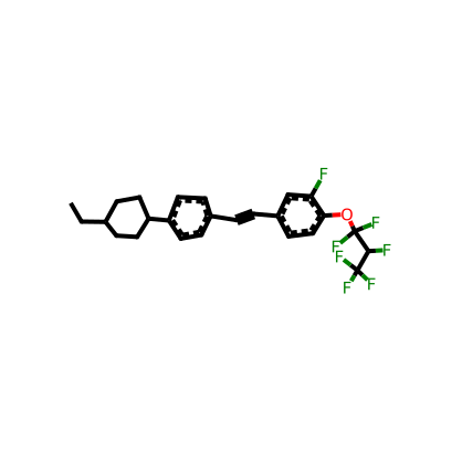 CCC1CCC(c2ccc(C#Cc3ccc(OC(F)(F)C(F)C(F)(F)F)c(F)c3)cc2)CC1